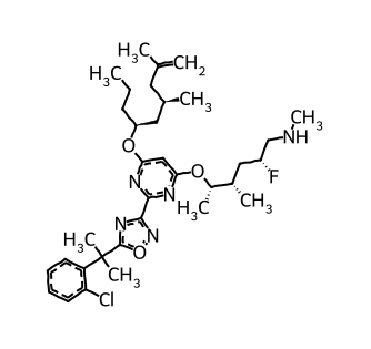 C=C(C)C[C@@H](C)C[C@H](CCC)Oc1cc(O[C@@H](C)[C@@H](C)C[C@@H](F)CNC)nc(-c2noc(C(C)(C)c3ccccc3Cl)n2)n1